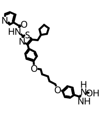 N=C(NO)c1ccc(OCCCCCOc2ccc(-c3nc(NC(=O)c4cccnc4)sc3CC3CCCC3)cc2)cc1